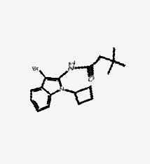 CC(C)(C)CC(=O)Nc1c(Br)c2ccccc2n1C1CCC1